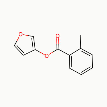 Cc1ccccc1C(=O)Oc1ccoc1